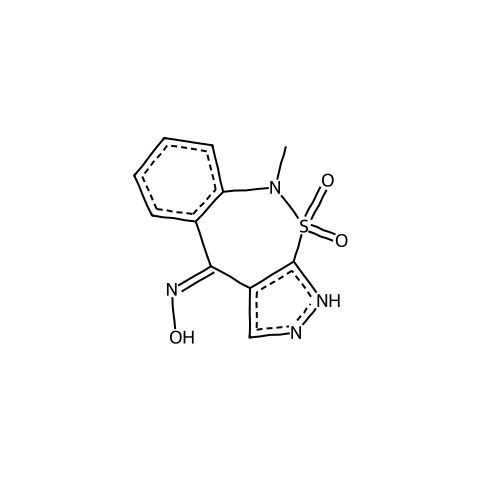 CN1c2ccccc2/C(=N/O)c2cn[nH]c2S1(=O)=O